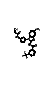 C=CC(=O)NC1CCC(n2c(NC(=O)c3cccc(C(F)(F)F)c3)nc3cc(C)ccc32)C1